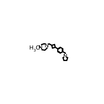 CN1CCCN(CC2CC(c3ccc(CN4CCCC4)cc3)C2)CC1